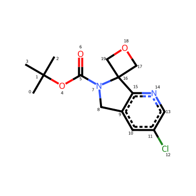 CC(C)(C)OC(=O)N1Cc2cc(Cl)cnc2C12COC2